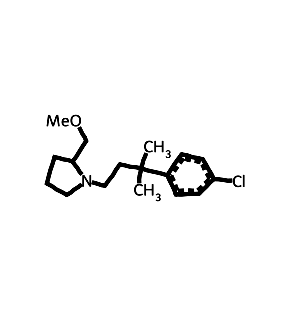 COCC1CCCN1CCC(C)(C)c1ccc(Cl)cc1